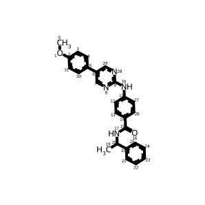 COc1ccc(-c2cnc(Nc3ccc(C(=O)NC(C)c4ccccc4)cc3)nc2)cc1